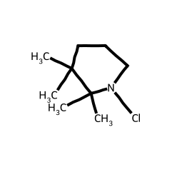 CC1(C)CCCN(Cl)C1(C)C